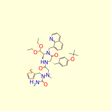 CCOC(OCC)[C@H](C)N(Cc1cccc2cccnc12)C(=O)[C@H](Cc1ccc(OC(C)(C)C)cc1)NC(=O)CN(C)N(Cc1cccs1)C(N)=O